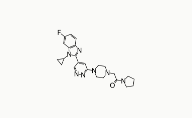 O=C(CN1CCN(c2cc(-c3nc4ccc(F)cc4n3C3CC3)cnn2)CC1)N1CCCC1